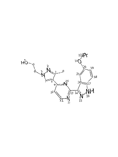 Cc1nn(CCO)cc1-c1ccnc(-c2n[nH]c3ccc(OC(C)C)cc23)n1